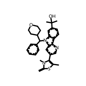 C=C1SC(C)=C(c2cnc3c4ccc(C(C)(C)O)cc4n(C(c4ccccc4)C4CCOCC4)c3c2)N1C